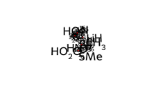 CSCCC(NC(=O)c1ccc(CCc2cnccc2C(O)C23CC4CC(CC(C4)C2)C3)cc1-c1ccccc1C)C(=O)O.[LiH]